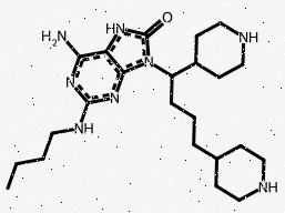 CCCCNc1nc(N)c2[nH]c(=O)n(C(CCCC3CCNCC3)C3CCNCC3)c2n1